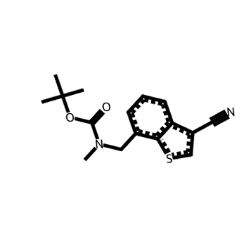 CN(Cc1cccc2c(C#N)csc12)C(=O)OC(C)(C)C